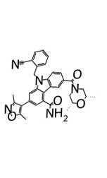 Cc1noc(C)c1-c1cc(C(N)=O)c2c3cc(C(=O)N4C[C@@H](C)O[C@@H](C)C4)ccc3n(Cc3ccccc3C#N)c2c1